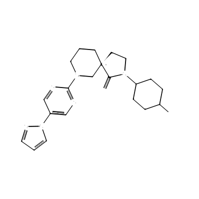 O=C1N(C2CCC(O)CC2)CC[C@@]12CCCN(c1ncc(-n3cccn3)cn1)C2